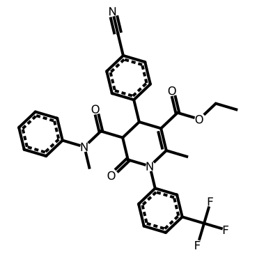 CCOC(=O)C1=C(C)N(c2cccc(C(F)(F)F)c2)C(=O)C(C(=O)N(C)c2ccccc2)C1c1ccc(C#N)cc1